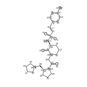 O=C1[C@@H](NS(=O)(=O)/C=C/c2ccc(Br)cc2)CCCN1CC(=O)N1CCC[C@H]1CN1CCCC1